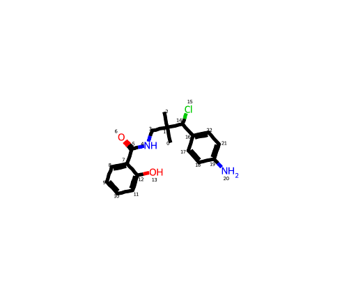 CC(C)(CNC(=O)c1ccccc1O)C(Cl)c1ccc(N)cc1